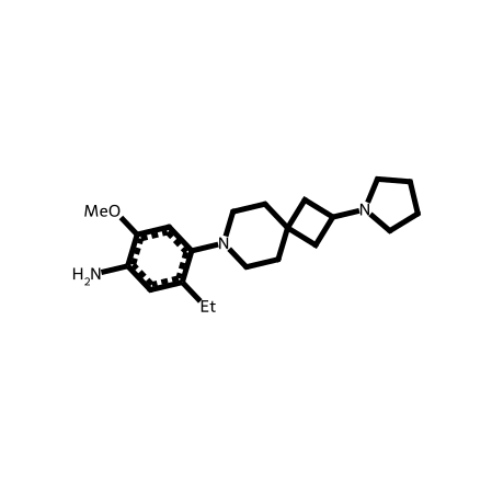 CCc1cc(N)c(OC)cc1N1CCC2(CC1)CC(N1CCCC1)C2